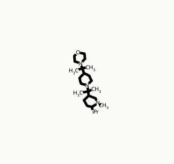 CC(C)C1CCC(C(C)(C)N2CCC(C(C)(C)N3CCOCC3)CC2)CN1C